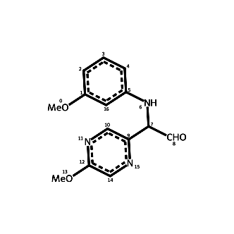 COc1cccc(NC(C=O)c2cnc(OC)cn2)c1